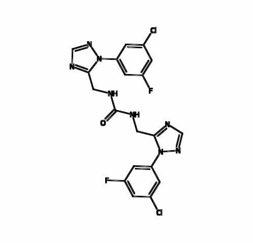 O=C(NCc1ncnn1-c1cc(F)cc(Cl)c1)NCc1ncnn1-c1cc(F)cc(Cl)c1